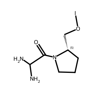 NC(N)C(=O)N1CCC[C@H]1COI